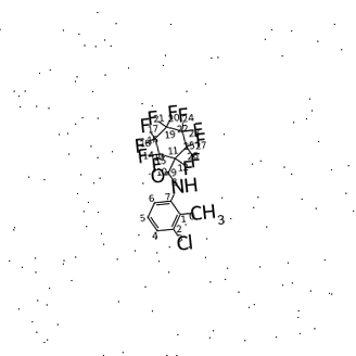 Cc1c(Cl)cccc1NC(=O)C1(F)C(F)(F)C(F)(F)C(F)(F)C(F)(F)C1(F)F